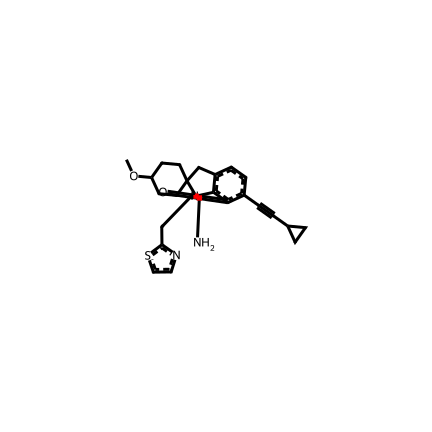 COC1CCC2(CC1)Cc1ccc(C#CC3CC3)cc1C21N=C(N)C(Cc2nccs2)C1=O